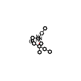 C1=CC(c2ccccc2)CC=C1c1nc(-c2ccccc2)nc(-c2cccc3oc4ccc(-c5ccc(-c6ccc(-c7ccccc7)cc6)c(-c6ccccc6)c5)cc4c23)n1